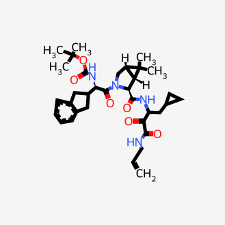 C=CCNC(=O)C(=O)C(CC1CC1)NC(=O)[C@@H]1[C@@H]2[C@H](CN1C(=O)[C@@H](NC(=O)OC(C)(C)C)C1Cc3ccccc3C1)C2(C)C